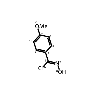 COc1ccc(/C(Cl)=N/O)cc1